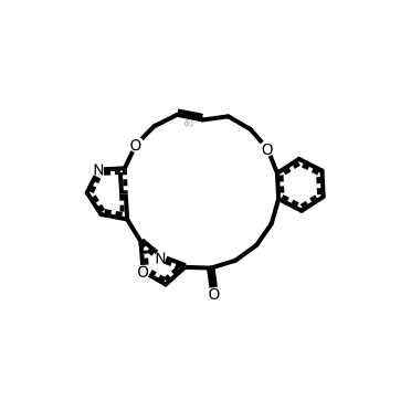 O=C1CCCc2ccccc2OCC/C=C/COc2cc(ccn2)-c2nc1co2